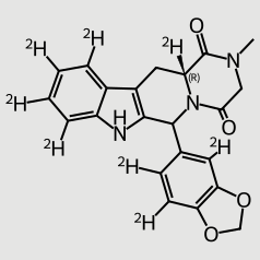 [2H]c1c([2H])c(C2c3[nH]c4c([2H])c([2H])c([2H])c([2H])c4c3C[C@]3([2H])C(=O)N(C)CC(=O)N23)c([2H])c2c1OCO2